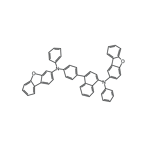 c1ccc(N(c2ccc(-c3ccc(N(c4ccccc4)c4ccc5oc6ccccc6c5c4)c4ccccc34)cc2)c2ccc3c(c2)oc2ccccc23)cc1